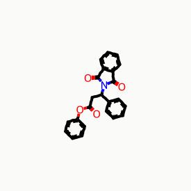 O=C(CC(c1ccccc1)N1C(=O)c2ccccc2C1=O)Oc1ccccc1